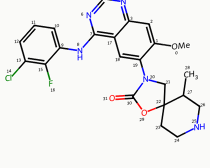 COc1cc2ncnc(Nc3cccc(Cl)c3F)c2cc1N1CC2(CCNCC2C)OC1=O